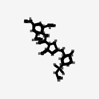 COc1cc(OC)c(NC(=O)C2OC(Oc3cc([Si](C)(C)CC(C)(C)C)ccc3C)=CC2=O)c(OC)c1